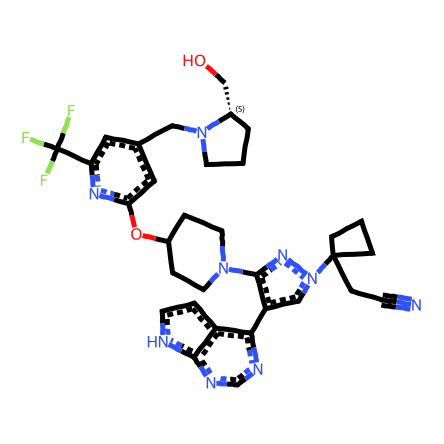 N#CCC1(n2cc(-c3ncnc4[nH]ccc34)c(N3CCC(Oc4cc(CN5CCC[C@H]5CO)cc(C(F)(F)F)n4)CC3)n2)CCC1